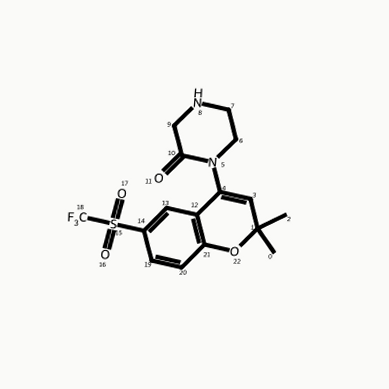 CC1(C)C=C(N2CCNCC2=O)c2cc(S(=O)(=O)C(F)(F)F)ccc2O1